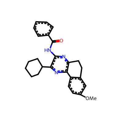 COc1ccc2c(c1)CCc1nc(NC(=O)c3ccccc3)c(C3CCCCC3)nc1-2